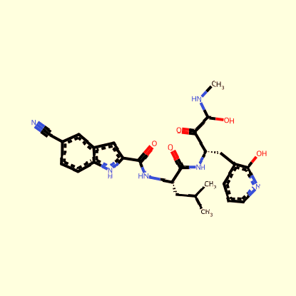 CNC(O)C(=O)[C@H](Cc1cccnc1O)NC(=O)[C@H](CC(C)C)NC(=O)c1cc2cc(C#N)ccc2[nH]1